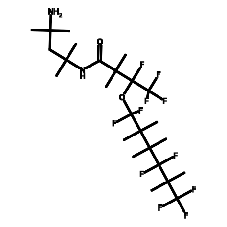 CC(C)(N)CC(C)(C)NC(=O)C(C)(C)C(F)(OC(F)(F)C(C)(C)C(C)(C)C(F)(F)C(C)(C)C(F)(F)F)C(F)(F)F